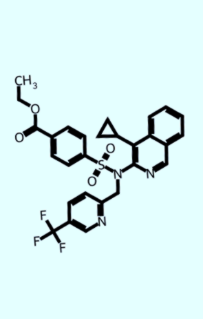 CCOC(=O)c1ccc(S(=O)(=O)N(Cc2ccc(C(F)(F)F)cn2)c2ncc3ccccc3c2C2CC2)cc1